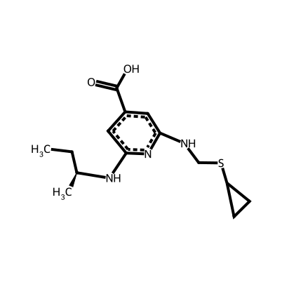 CC[C@H](C)Nc1cc(C(=O)O)cc(NCSC2CC2)n1